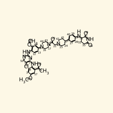 COc1ccc(Nc2nc(Nc3ccc(N4CCN(C(=O)CN5CCC(c6ccc(NC7CCC(=O)NC7=O)cc6)CC5)CC4)cc3OC)ncc2Cl)c(C(C)=O)c1